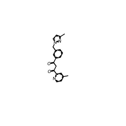 Cc1ccnc(C(=O)CC(=O)c2cccc(Cn3ccc(C)n3)c2)c1